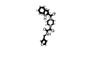 O=C(NCc1ccoc1)C(=O)N1CCN(C(=O)c2cc3ccccc3[nH]2)CC1